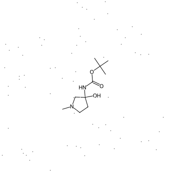 CN1CCC(O)(NC(=O)OC(C)(C)C)C1